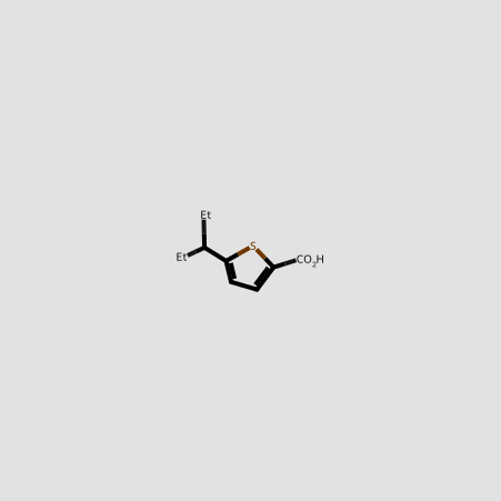 CCC(CC)c1ccc(C(=O)O)s1